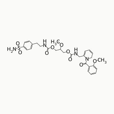 COc1ccccc1C(=O)N1CC=CC=C1CNC(=O)OCC(COC(=O)NCCc1ccc(S(N)(=O)=O)cc1)OC